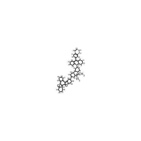 CC1(C)c2ccc(-c3c4ccccc4c(-c4ccc5c(c4)CCC=C5)c4ccccc34)cc2-c2ccc(-c3ccc4oc5c(c4c3)c3ccccc3c3oc4ccccc4c35)cc21